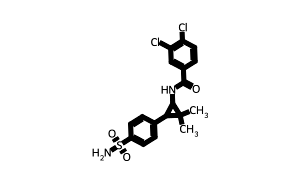 CC1(C)C(NC(=O)c2ccc(Cl)c(Cl)c2)C1c1ccc(S(N)(=O)=O)cc1